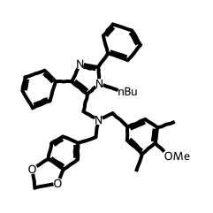 CCCCn1c(-c2ccccc2)nc(-c2ccccc2)c1CN(Cc1cc(C)c(OC)c(C)c1)Cc1ccc2c(c1)OCO2